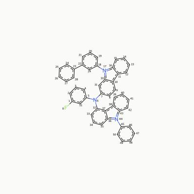 Fc1cccc(N(c2ccc3c4ccccc4n(-c4cccc(-c5ccccc5)c4)c3c2)c2cccc3c2c2ccccc2n3-c2ccccc2)c1